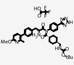 COc1ccc(-c2ccc(C[C@H](N)C(=O)N(c3ccc(-c4nn[nH]n4)cc3)C(=O)[C@H]3CC[C@H](CNC(=O)OC(C)(C)C)CC3)cc2)c(C)n1.O=C(O)C(F)(F)F